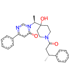 C[C@H](CC(=O)N1CCC(O)([C@H](C)n2cnc(-c3ccccc3)cc2=O)CC1)c1ccccc1